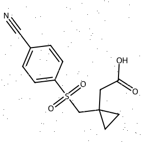 N#Cc1ccc(S(=O)(=O)CC2(CC(=O)O)CC2)cc1